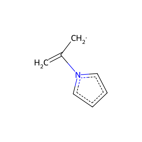 [CH2]C(=C)n1cccc1